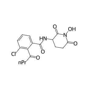 CCCC(=O)c1c(Cl)cccc1C(=O)NC1CCC(=O)N(O)C1=O